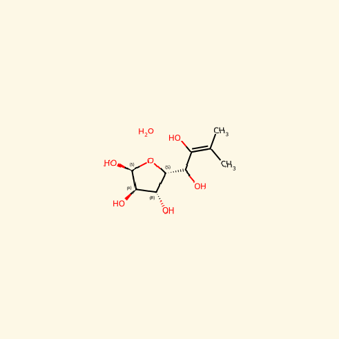 CC(C)=C(O)C(O)[C@H]1O[C@H](O)[C@H](O)[C@H]1O.O